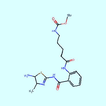 CC1N=C(NC(=O)c2ccccc2NC(=O)CCCCNC(=O)OC(C)(C)C)SC1N